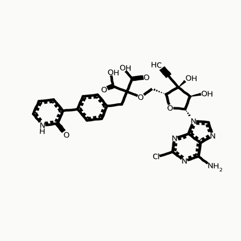 C#C[C@@]1(O)[C@@H](COC(Cc2ccc(-c3ccc[nH]c3=O)cc2)(C(=O)O)C(=O)O)O[C@@H](n2cnc3c(N)nc(Cl)nc32)[C@@H]1O